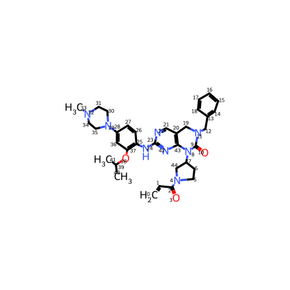 C=CC(=O)N1CCC(N2C(=O)N(Cc3ccccc3)Cc3cnc(Nc4ccc(N5CCN(C)CC5)cc4OC(C)C)nc32)C1